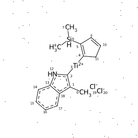 Cc1[c]([Ti+2][C]2=C([SiH](C)C)C=CC2)[nH]c2ccccc12.[Cl-].[Cl-]